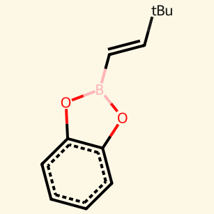 CC(C)(C)C=CB1Oc2ccccc2O1